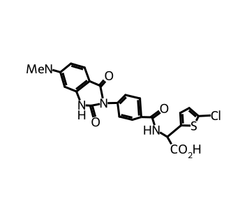 CNc1ccc2c(=O)n(-c3ccc(C(=O)NC(C(=O)O)c4ccc(Cl)s4)cc3)c(=O)[nH]c2c1